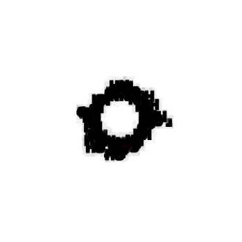 CCC(C)[C@@H]1NC(=O)[C@H](Cc2ccc(-c3ccccc3)cc2)NC(=O)[C@H](C(C)C)NC(=O)[C@H](Cc2c[nH]c3ccccc23)NC(=O)[C@H](CC(=O)O)NC(=O)[C@H](Cc2ccc(O)cc2)NC(=O)[C@H](Cc2ccoc2)NC(=O)CSC[C@@H](C(=O)N2CCC[C@H]2C(N)=O)NC(=O)[C@H](C(C)O)NC(=O)[C@H](C(C)(C)O)NC(=O)[C@H](CC2CCCCC2)NC(=O)[C@H](CC(N)=O)NC(=O)[C@@H](CC(C)C)NC(=O)[C@H](C)N(C)C1=O